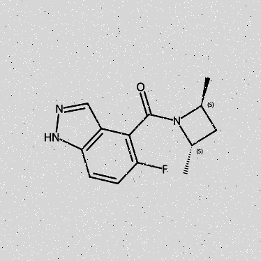 C[C@H]1C[C@H](C)N1C(=O)c1c(F)ccc2[nH]ncc12